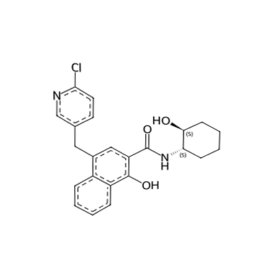 O=C(N[C@H]1CCCC[C@@H]1O)c1cc(Cc2ccc(Cl)nc2)c2ccccc2c1O